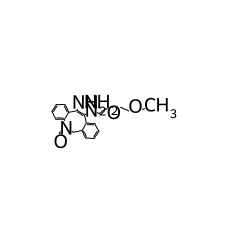 CCOCCOCCN(N)/C1=C(\N)c2ccccc2N(C=O)Cc2ccccc21